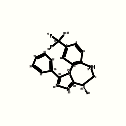 C[C@H]1CNc2ccc(C(F)(F)F)cc2-n2c(-c3ccccc3)nnc21